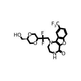 O=C1NCCN(CC(F)(F)C2CO[C@H](CO)CO2)c2c1oc1ccc(C(F)(F)F)cc21